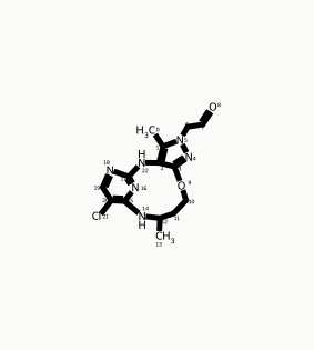 Cc1c2c(nn1CC=O)OCCC(C)Nc1nc(ncc1Cl)N2